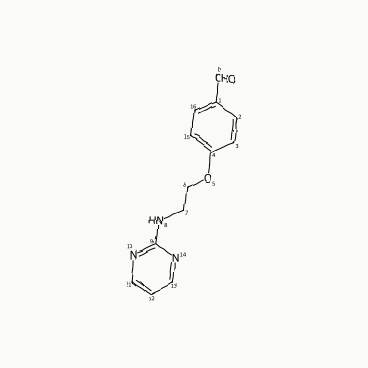 O=Cc1ccc(OCCNc2ncccn2)cc1